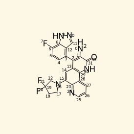 Nc1c(-c2ccc(F)c3[nH]ncc23)c2cc(N3CCC(F)(F)C3)c3ncccc3c2[nH]c1=O